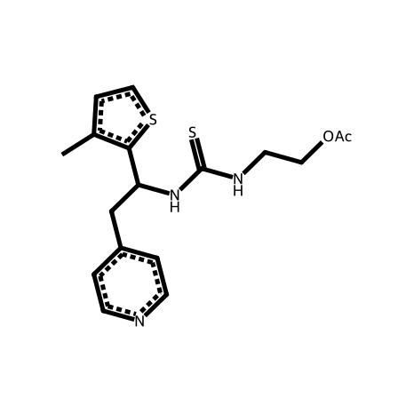 CC(=O)OCCNC(=S)NC(Cc1ccncc1)c1sccc1C